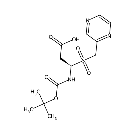 CC(C)(C)OC(=O)N[C@@H](CC(=O)O)S(=O)(=O)Cc1cnccn1